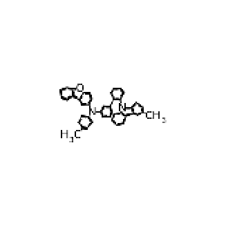 Cc1ccc(N(c2cccc(-c3ccccc3-n3c4ccccc4c4cc(C)ccc43)c2)c2ccc3oc4ccccc4c3c2)cc1